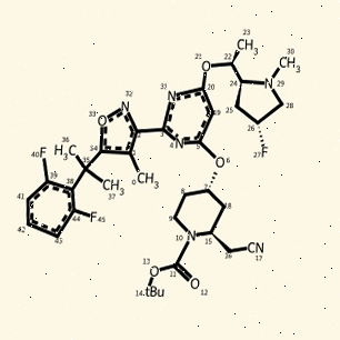 Cc1c(-c2nc(O[C@H]3CCN(C(=O)OC(C)(C)C)[C@H](CC#N)C3)cc(O[C@@H](C)[C@@H]3C[C@@H](F)CN3C)n2)noc1C(C)(C)c1c(F)cccc1F